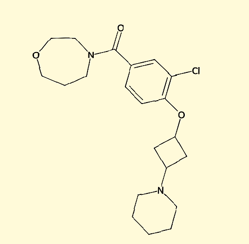 O=C(c1ccc(OC2CC(N3CCCCC3)C2)c(Cl)c1)N1CCCOCC1